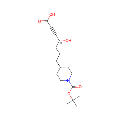 CC(C)(C)OC(=O)N1CCC(CCC[C@@H](O)C#CC(=O)O)CC1